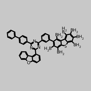 Bc1c(B)c(B)c2c(sc3c(B)c(B)c(-c4cccc(-c5nc(-c6ccc(-c7ccccc7)cc6)nc(-c6cccc7oc8ccccc8c67)n5)c4)c(B)c32)c1B